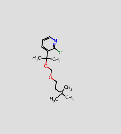 CC(C)(OCOCC[Si](C)(C)C)c1cccnc1Cl